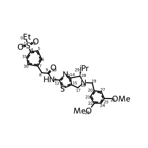 CCS(=O)(=O)c1ccc(CC(=O)Nc2nc3c(s2)CN(Cc2cc(OC)cc(OC)c2)[C@@H]3C(C)C)cc1